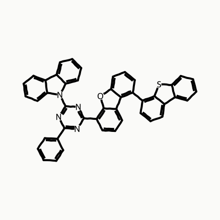 c1ccc(-c2nc(-c3cccc4c3oc3cccc(-c5cccc6c5sc5ccccc56)c34)nc(-n3c4ccccc4c4ccccc43)n2)cc1